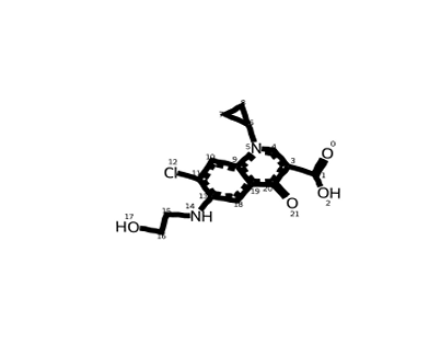 O=C(O)c1cn(C2CC2)c2cc(Cl)c(NCCO)cc2c1=O